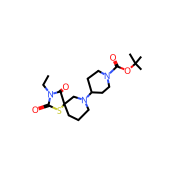 CCN1C(=O)SC2(CCCN(C3CCN(C(=O)OC(C)(C)C)CC3)C2)C1=O